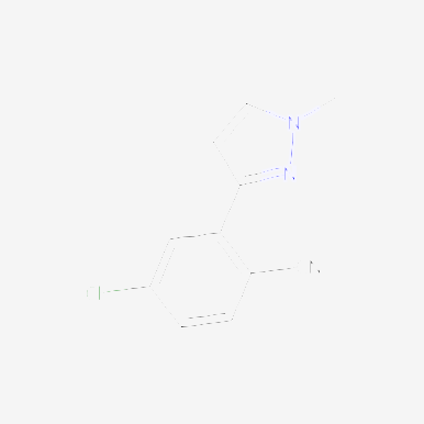 Cn1ccc(-c2cc(Cl)ccc2C#N)n1